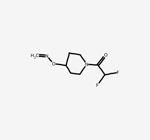 C=NOC1CCN(C(=O)C(F)F)CC1